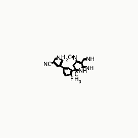 C=NC1=C(C=N)C(=N)N[C@](C)(c2cc(-c3cncc(C#N)c3)ccc2F)C1